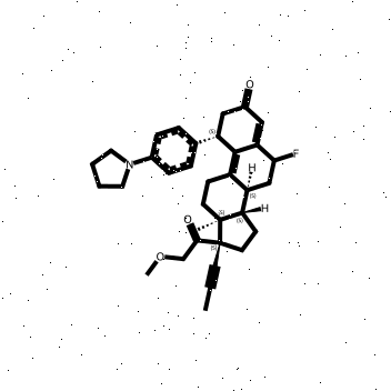 CC#C[C@]1(C(=O)COC)CC[C@H]2[C@@H]3CC(F)C4=CC(=O)C[C@@H](c5ccc(N6CCCC6)cc5)C4=C3CC[C@@]21C